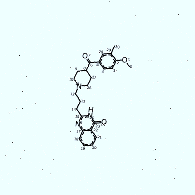 COc1ccc(C(=O)C2CCN(CCCc3nc4ccccc4c(=O)[nH]3)CC2)cc1C